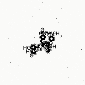 CC(Cc1ccc2c(c1)oc(=O)n2CCCN(C)[C@H]1CC[C@H](OC(=O)C(O)(c2cccs2)c2cccs2)CC1)NC[C@H](O)c1ccc(O)c2[nH]c(=O)ccc12